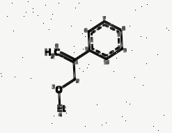 C=C(COCC)c1ccccc1